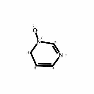 [O]N1C=NC=CC1